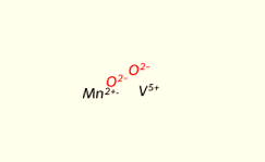 [Mn+2].[O-2].[O-2].[V+5]